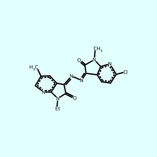 CCN1C(=O)/C(=N\N=C2/C(=O)N(C)c3nc(Cl)ccc32)c2cc(C)cnc21